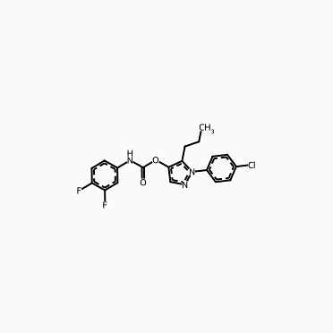 CCCc1c(OC(=O)Nc2ccc(F)c(F)c2)cnn1-c1ccc(Cl)cc1